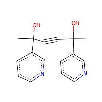 CC(O)(C#CC(C)(O)c1cccnc1)c1cccnc1